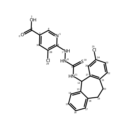 O=C(O)c1cnc(NNC(=S)NC2c3ccccc3CCc3ccc(Cl)cc32)c(Cl)c1